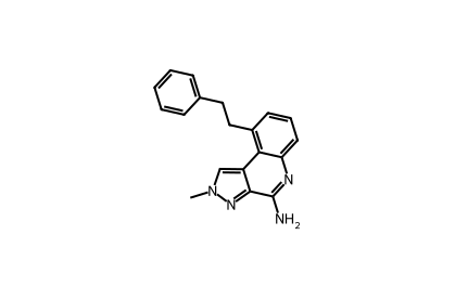 Cn1cc2c(n1)c(N)nc1cccc(CCc3ccccc3)c12